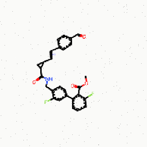 COC(=O)c1c(F)cccc1-c1ccc(CNC(=O)C2CC2/C=C/c2ccc(C=O)cc2)c(F)c1